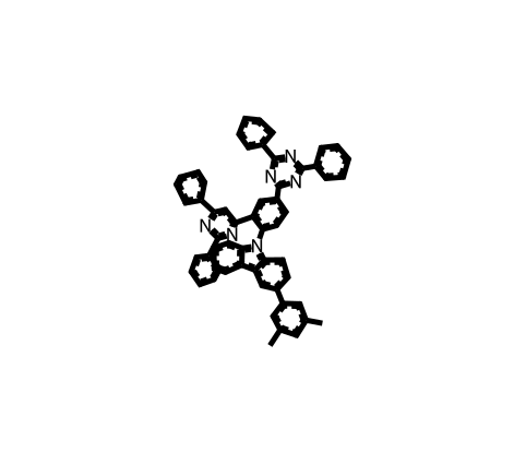 Cc1cc(C)cc(-c2ccc3c(c2)c2ccccc2n3-c2ccc(-c3nc(-c4ccccc4)nc(-c4ccccc4)n3)cc2-c2cc(-c3ccccc3)nc(-c3ccccc3)n2)c1